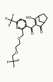 O=C(C1=C(O)C2CCC(C2)C1=O)c1ccc(C(F)(F)F)nc1COCCOCC(F)(F)F